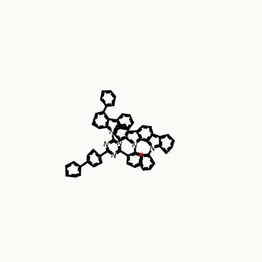 c1ccc(-c2ccc(-c3nc(-c4ccccc4-n4c5ccccc5c5ccc6c7ccccc7n(-c7ccccc7)c6c54)nc(-n4c5ccccc5c5c(-c6ccccc6)cccc54)n3)cc2)cc1